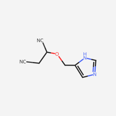 N#CCC(C#N)OCc1cnc[nH]1